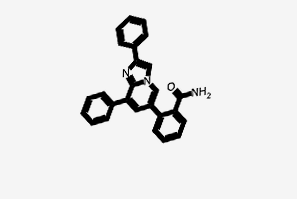 NC(=O)c1ccccc1-c1cc(-c2ccccc2)c2nc(-c3ccccc3)cn2c1